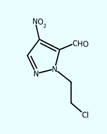 O=Cc1c([N+](=O)[O-])cnn1CCCl